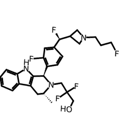 C[C@@H]1Cc2c([nH]c3ccccc23)[C@@H](c2ccc([C@@H](F)C3CN(CCCF)C3)cc2F)N1CC(F)(F)CO